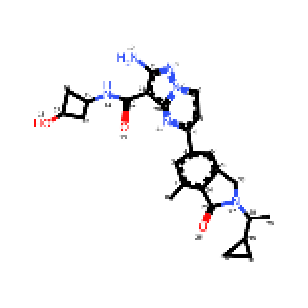 Cc1cc(-c2ccn3nc(N)c(C(=O)NC4CC(O)C4)c3n2)cc2c1C(=O)N([C@@H](C)C1CC1)C2